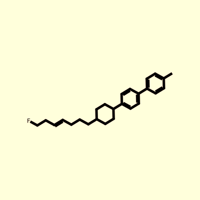 Cc1ccc(-c2ccc(C3CCC(CCCC=CCCF)CC3)cc2)cc1